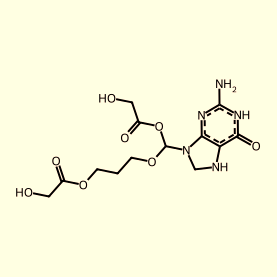 Nc1nc2c(c(=O)[nH]1)NCN2C(OCCCOC(=O)CO)OC(=O)CO